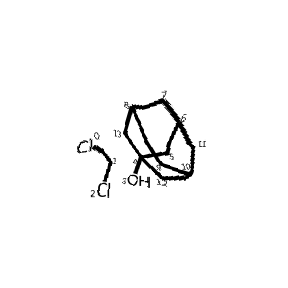 ClCCl.OC12CC3CC(CC(C3)C1)C2